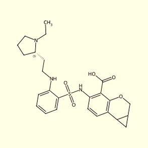 CCN1CCC[C@H]1CCNc1ccccc1S(=O)(=O)Nc1ccc2c(c1C(=O)O)OCC1CC21